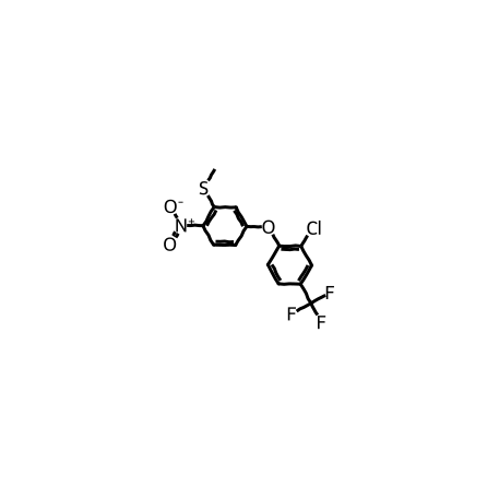 CSc1cc(Oc2ccc(C(F)(F)F)cc2Cl)ccc1[N+](=O)[O-]